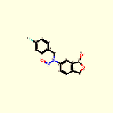 O=NN(Cc1ccc(F)cc1)c1ccc2c(c1)B(O)OC2